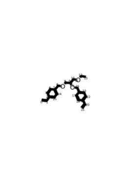 C=Cc1ccc(COCC(COCC)OCc2ccc(C=C)cc2)cc1